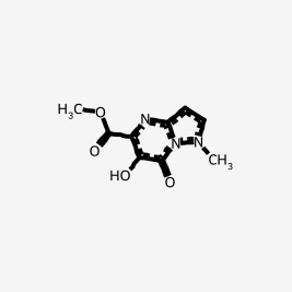 COC(=O)c1nc2ccn(C)n2c(=O)c1O